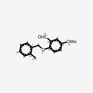 COc1ccc(OCc2ccccc2I)c(C=O)c1